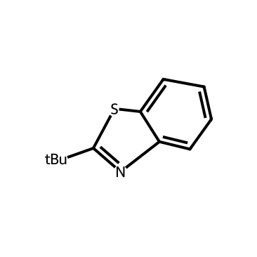 CC(C)(C)c1nc2ccccc2s1